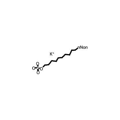 CCCCCCCCCCCCCCCCCCCOS(=O)(=O)[O-].[K+]